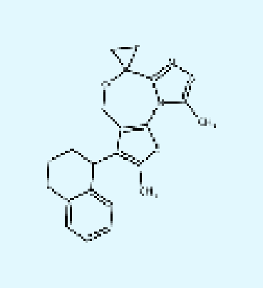 Cc1sc2c(c1C1CCCc3ccccc31)COC1(CC1)c1nnc(C)n1-2